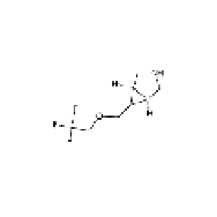 FC(F)(F)COCC1[C@H]2CNC[C@@H]12